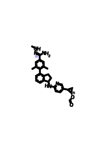 CN/N=C(\N)c1cc(C)c(-c2cccc3c2CCC3Nc2ccc(C3C[C@@H]3OC=O)cn2)c(C)c1